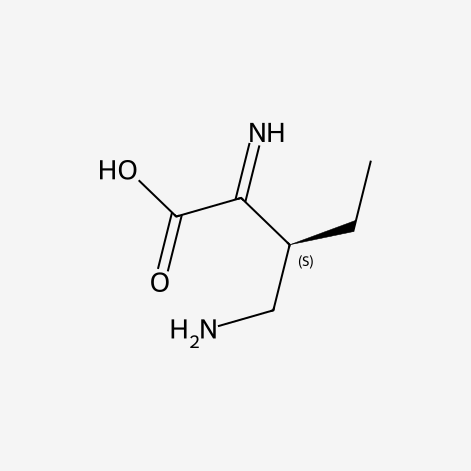 CC[C@@H](CN)C(=N)C(=O)O